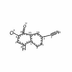 N#Cc1ccc2[nH]cc(Cl)c(=O)c2c1